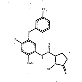 COc1cc(F)c(Oc2cccc(C(F)(F)F)c2)cc1NC(=O)C1CCC(=O)N1C(C)=O